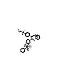 CC(C)(C#N)c1ccc(C2=CC34N=NCC3C=CC=C4N=C2c2cccc(NS(=O)(=O)c3ccccc3)c2)cc1